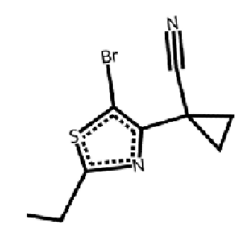 CCc1nc(C2(C#N)CC2)c(Br)s1